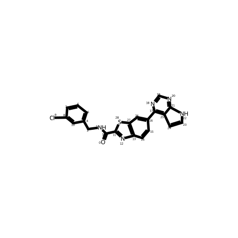 O=C(NCc1cccc(Cl)c1)c1nc2ccc(-c3ncnc4[nH]ccc34)cc2s1